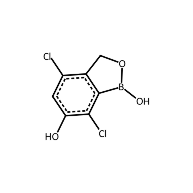 OB1OCc2c(Cl)cc(O)c(Cl)c21